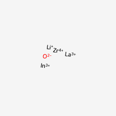 [In+3].[La+3].[Li+].[O-2].[Zr+4]